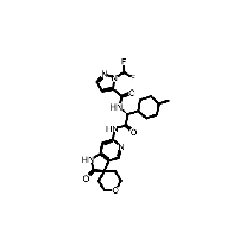 CC1CCC([C@H](NC(=O)c2ccnn2C(F)F)C(=O)Nc2cc3c(cn2)C2(CCOCC2)C(=O)N3)CC1